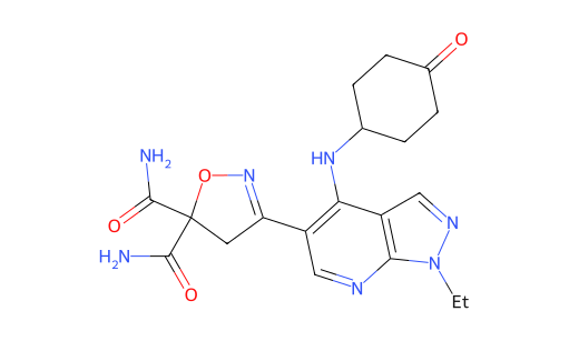 CCn1ncc2c(NC3CCC(=O)CC3)c(C3=NOC(C(N)=O)(C(N)=O)C3)cnc21